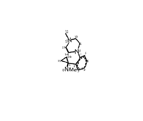 CNC1(c2ccccc2N2CCN(C)CC2)CC1